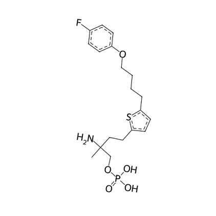 CC(N)(CCc1ccc(CCCCOc2ccc(F)cc2)s1)COP(=O)(O)O